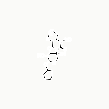 CCOCCN(C(=O)N(CCCl)N=O)[C@]1(O)CO[C@H](OC2CCCCC2)[C@H](O)[C@H]1O